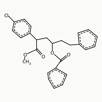 COC(=O)C(CC(CCc1ccccc1)OC(=O)c1ccccc1)c1ccc(Cl)cc1